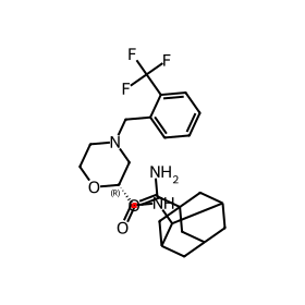 NC(=O)C12CC3CC(C1)C(NC(=O)[C@H]1CN(Cc4ccccc4C(F)(F)F)CCO1)C(C3)C2